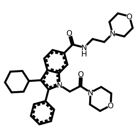 O=C(NCCN1CCOCC1)c1ccc2c(C3CCCCC3)c(-c3ccccc3)n(CC(=O)N3CCOCC3)c2c1